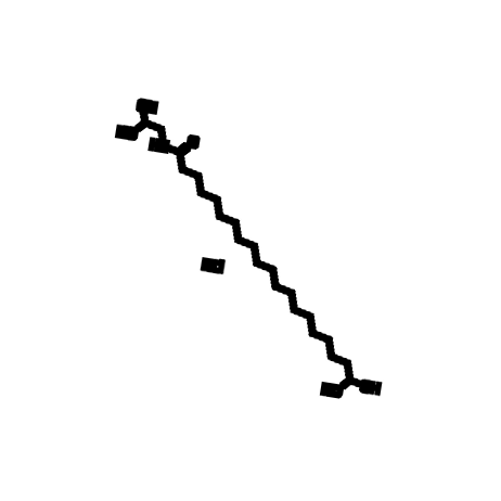 Cl.O=C(CCCCCCCCCCCCCCCCCCC(O)O)NCC(O)O